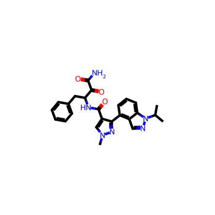 CC(C)n1ncc2c(-c3nn(C)cc3C(=O)NC(Cc3ccccc3)C(=O)C(N)=O)cccc21